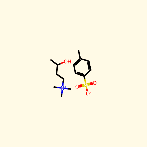 CC(O)CC[N+](C)(C)C.Cc1ccc(S(=O)(=O)[O-])cc1